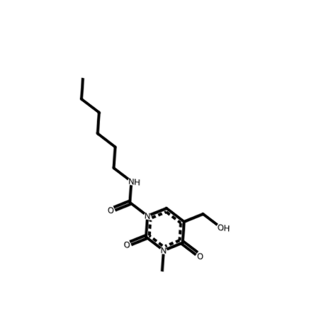 CCCCCCNC(=O)n1cc(CO)c(=O)n(C)c1=O